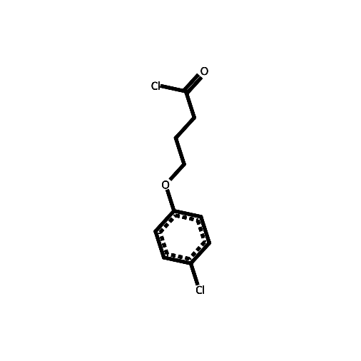 O=C(Cl)CCCOc1ccc(Cl)cc1